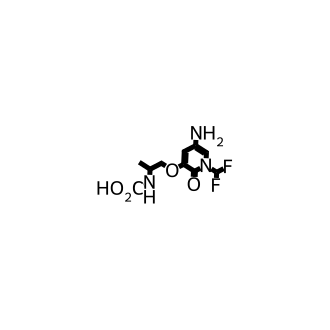 CC(COc1cc(N)cn(C(F)F)c1=O)NC(=O)O